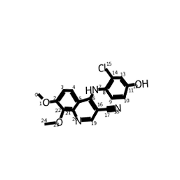 COc1ccc2c(Nc3ccc(O)cc3Cl)c(C#N)cnc2c1OC